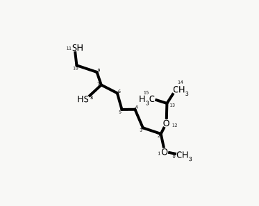 COC(CCCCC(S)CCS)OC(C)C